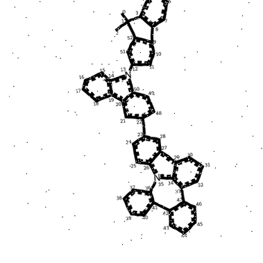 CC1(C)c2ccccc2-c2ccc(-n3c4ccccc4c4cc(-c5ccc6c(c5)c5cccc7c5n6-c5ccccc5-c5ccccc5-7)ccc43)cc21